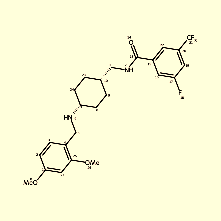 COc1ccc(CN[C@H]2CC[C@@H](CNC(=O)c3cc(F)cc(C(F)(F)F)c3)CC2)c(OC)c1